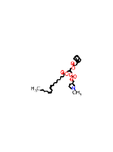 CCCCC/C=C\C/C=C\CCCCCCCC(=O)OCC(COC(=O)CC1C2CC3CC(C2)CC1C3)COC(=O)OCC1CCCN(CC)C1